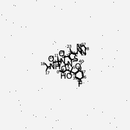 C=CCC(O)(Cn1c(=O)n(C(C)(C)C(=O)NC(C)C)c(=O)c2c(C)c(-n3nccn3)sc21)c1cc(F)ccc1OC